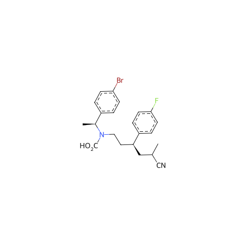 CC(C#N)C[C@@H](CCN(C(=O)O)[C@@H](C)c1ccc(Br)cc1)c1ccc(F)cc1